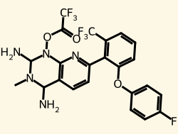 CN1C(N)c2ccc(-c3c(Oc4ccc(F)cc4)cccc3C(F)(F)F)nc2N(OC(=O)C(F)(F)F)C1N